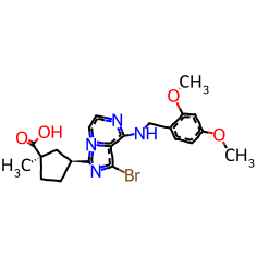 COc1ccc(CNc2nccn3c([C@H]4CC[C@@](C)(C(=O)O)C4)nc(Br)c23)c(OC)c1